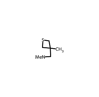 CNCC1(C)CSC1